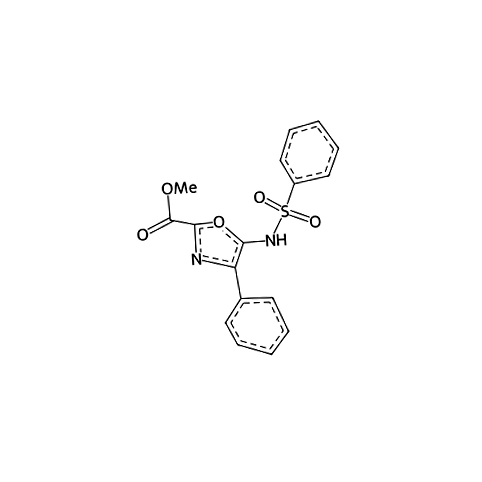 COC(=O)c1nc(-c2ccccc2)c(NS(=O)(=O)c2ccccc2)o1